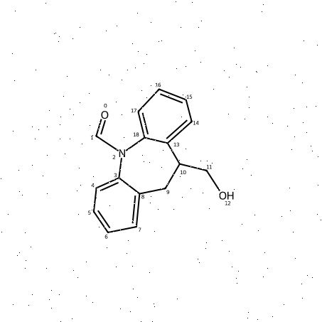 O=CN1c2ccccc2CC(CO)c2ccccc21